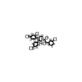 O=C(C(O)c1cccc(Cl)c1)N1CCN(c2ccc(Cl)cc2Cl)[C@H](c2ccc(Cl)cc2)C1